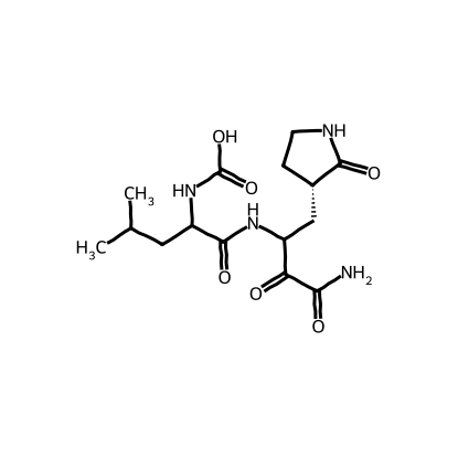 CC(C)CC(NC(=O)O)C(=O)NC(C[C@@H]1CCNC1=O)C(=O)C(N)=O